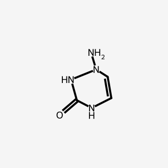 NN1C=CNC(=O)N1